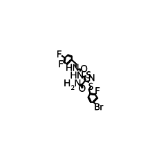 NC(=O)c1c(SCc2ccc(Br)cc2F)nsc1NC(=O)NCc1ccc(F)c(F)c1